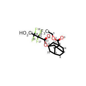 O=C(OCC(F)(F)F)C12CC3CC(CC(OC(=O)C(F)(F)C(F)(F)C(=O)O)(C3)C1)C2